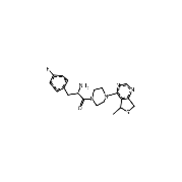 CC1SCc2ncnc(N3CCN(C(=O)[C@H](N)Cc4ccc(F)cc4)CC3)c21